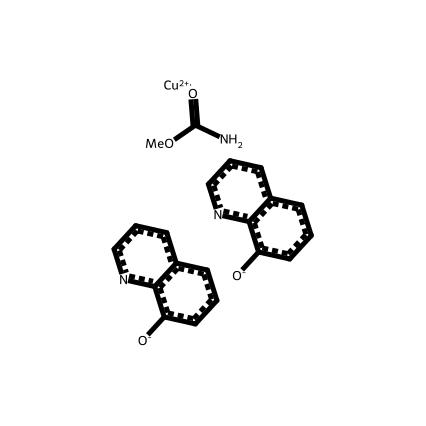 COC(N)=O.[Cu+2].[O-]c1cccc2cccnc12.[O-]c1cccc2cccnc12